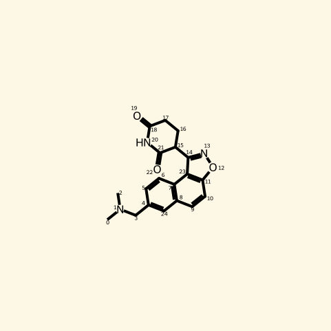 CN(C)Cc1ccc2c(ccc3onc(C4CCC(=O)NC4=O)c32)c1